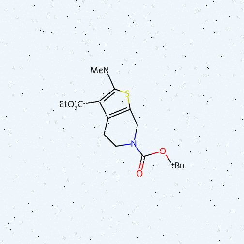 CCOC(=O)c1c(NC)sc2c1CCN(C(=O)OC(C)(C)C)C2